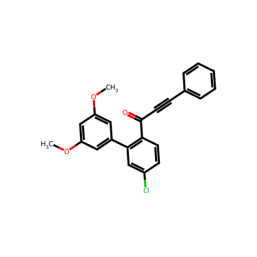 COc1cc(OC)cc(-c2cc(Cl)ccc2C(=O)C#Cc2ccccc2)c1